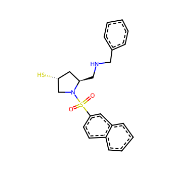 O=S(=O)(c1ccc2ccccc2c1)N1C[C@H](S)C[C@H]1CNCc1ccccc1